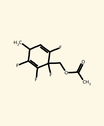 [CH2]C1C=C(F)C(F)(COC(C)=O)C(F)=C1F